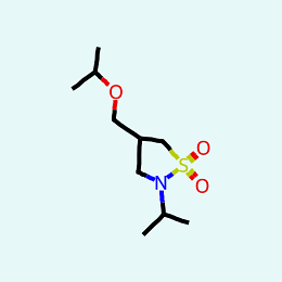 CC(C)OCC1CN(C(C)C)S(=O)(=O)C1